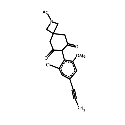 CC#Cc1cc(Cl)c(C2C(=O)CC3(CC2=O)CN(C(C)=O)C3)c(OC)c1